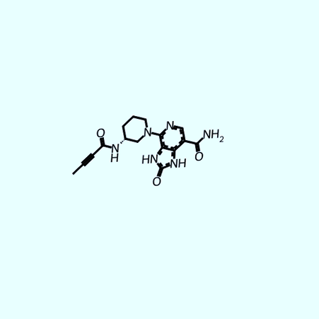 CC#CC(=O)N[C@@H]1CCCN(c2ncc(C(N)=O)c3[nH]c(=O)[nH]c23)C1